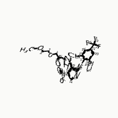 COCCOCC(=O)Nc1c([N+](=O)[O-])cnn1-c1c(Cl)cc(C(F)(F)F)cc1Cl